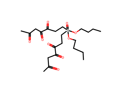 CCCC[O][Ti](=[O])([CH2]CC(=O)C(=O)CC(C)=O)([CH2]CC(=O)C(=O)CC(C)=O)[O]CCCC